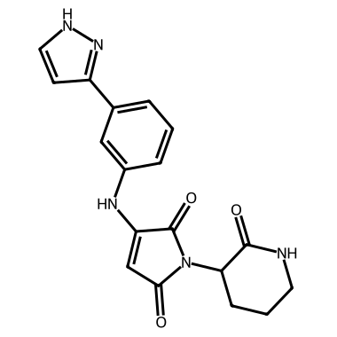 O=C1NCCCC1N1C(=O)C=C(Nc2cccc(-c3cc[nH]n3)c2)C1=O